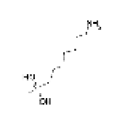 C[Si](O)(O)CCCCCCCN